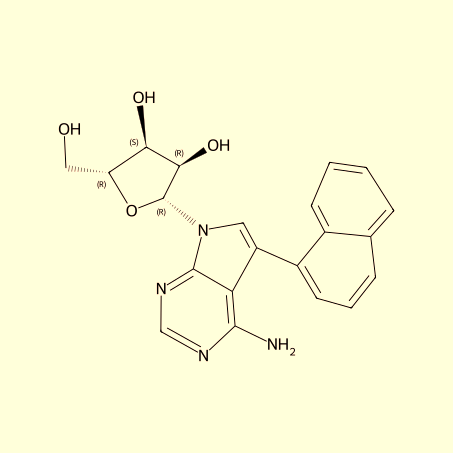 Nc1ncnc2c1c(-c1cccc3ccccc13)cn2[C@@H]1O[C@H](CO)[C@@H](O)[C@H]1O